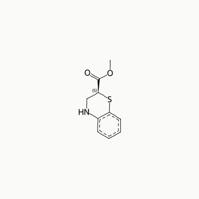 COC(=O)[C@@H]1CNc2ccccc2S1